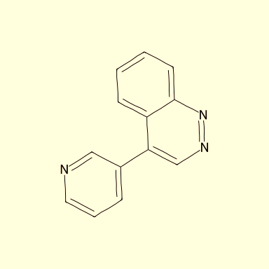 c1cncc(-c2cnnc3ccccc23)c1